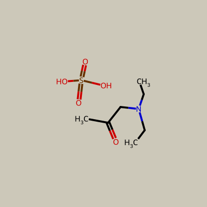 CCN(CC)CC(C)=O.O=S(=O)(O)O